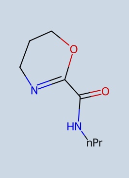 CCCNC(=O)C1=NCCCO1